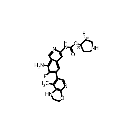 Cc1c(-c2cc3cc(NC(=O)O[C@@H]4CCNC[C@H]4F)ncc3c(N)c2F)cnc2c1NCCO2